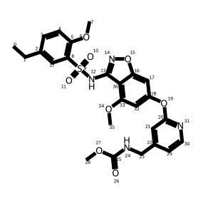 CCc1ccc(OC)c(S(=O)(=O)Nc2noc3cc(Oc4cc(CNC(=O)OC)ccn4)cc(OC)c23)c1